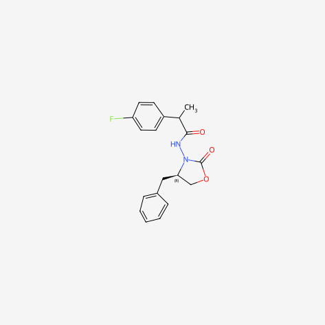 CC(C(=O)NN1C(=O)OC[C@H]1Cc1ccccc1)c1ccc(F)cc1